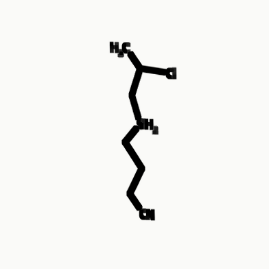 CC(Cl)C[SiH2]CCCC#N